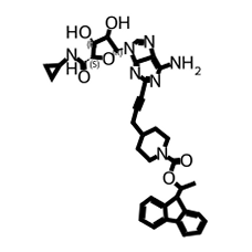 CC(OC(=O)N1CCC(CC#Cc2nc(N)c3ncn([C@@H]4O[C@H](C(=O)NC5CC5)[C@H](O)C4O)c3n2)CC1)C1c2ccccc2-c2ccccc21